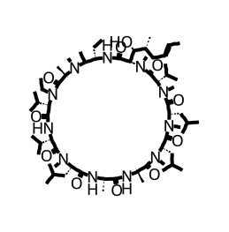 C/C=C/C[C@@H](C)[C@@H](O)[C@H]1C(=O)N[C@@H](CC)C(C)N(C)[C@H](C)C(=O)N(CC)[C@@H](C(C)C)C(=O)N[C@@H](C(C)C)C(=O)N(C)[C@@H](CC(C)C)C(=O)N[C@@H](C)C(=O)N[C@H](C)C(=O)N(C)[C@@H](CC(C)C)C(=O)N(C)[C@@H](CC(C)C)C(=O)N(C)[C@@H](C(C)C)C(=O)N1C